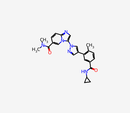 Cc1ccc(C(=O)NC2CC2)cc1-c1cnn(-c2cnc3ccc(C(=O)N(C)C)cn23)c1